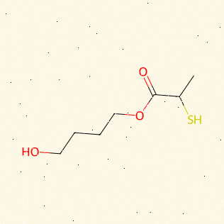 CC(S)C(=O)OCCCCO